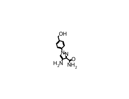 NC(=O)c1nn(-c2ccc(CO)cc2)cc1N